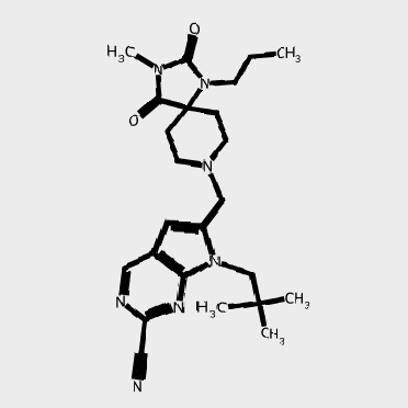 CCCN1C(=O)N(C)C(=O)C12CCN(Cc1cc3cnc(C#N)nc3n1CC(C)(C)C)CC2